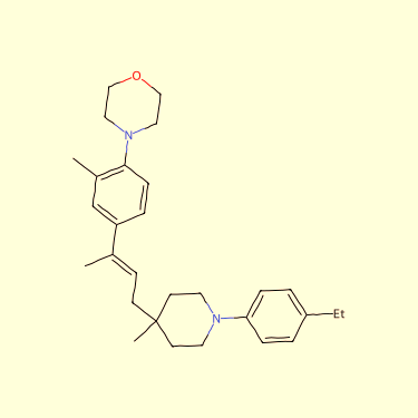 CCc1ccc(N2CCC(C)(C/C=C(\C)c3ccc(N4CCOCC4)c(C)c3)CC2)cc1